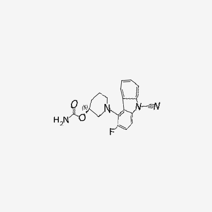 N#Cn1c2ccccc2c2c(N3CCC[C@H](OC(N)=O)C3)c(F)ccc21